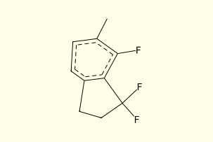 Cc1ccc2c(c1F)C(F)(F)CC2